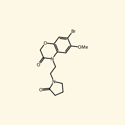 COc1cc2c(cc1Br)OCC(=O)N2CCN1CCCC1=O